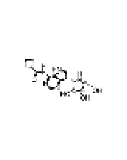 O=C(Nc1ncnc2c([C@@H]3N[C@H](CO)[C@@H](O)[C@H]3O)c[nH]c12)C1CCC1